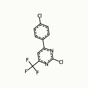 FC(F)(F)c1cc(-c2ccc(Cl)cc2)nc(Cl)n1